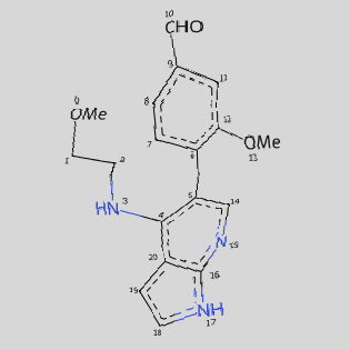 COCCNc1c(-c2ccc(C=O)cc2OC)cnc2[nH]ccc12